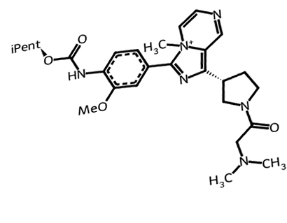 CCC[C@H](C)OC(=O)Nc1ccc(C2=NC([C@@H]3CCN(C(=O)CN(C)C)C3)=C3C=NC=C[N+]23C)cc1OC